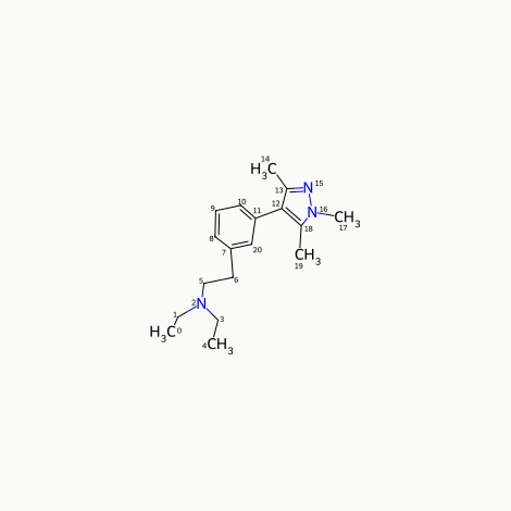 CCN(CC)CCc1cccc(-c2c(C)nn(C)c2C)c1